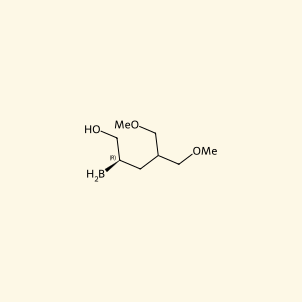 B[C@@H](CO)CC(COC)COC